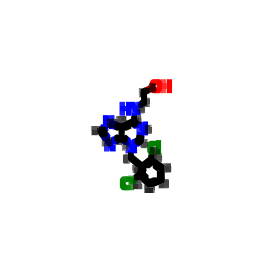 OCCNc1ncn(Cc2c(Cl)cccc2Cl)c2ncnc1-2